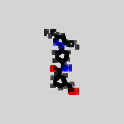 O=C(Nc1ccc(-n2nc(C(F)(F)F)cc2C(F)(F)F)cc1)c1cccc(CO)c1